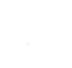 [2H]N1C(=O)OC([2H])([2H])[C@]1([2H])C([2H])([2H])c1ccc2c(c1)c(C([2H])([2H])C([2H])([2H])N(C)C([2H])([2H])[2H])cn2[2H]